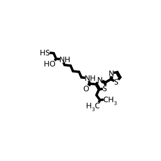 CC(C)Cc1sc(-c2nccs2)nc1C(=O)NCCCCCNC(O)CS